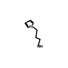 CCCCCCC[SH]1C=CC=C1